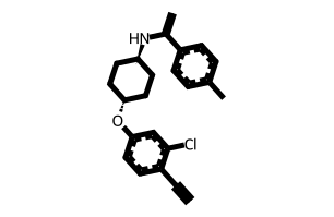 C#Cc1ccc(O[C@H]2CC[C@H](NC(=C)c3ccc(C)cc3)CC2)cc1Cl